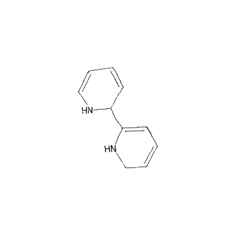 C1=CCNC(C2C=CC=CN2)=C1